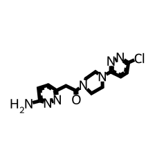 Nc1ccc(CC(=O)N2CCN(c3ccc(Cl)nn3)CC2)nn1